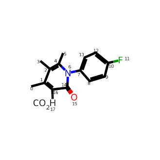 Cc1c(C)c(C)n(-c2ccc(F)cc2)c(=O)c1C(=O)O